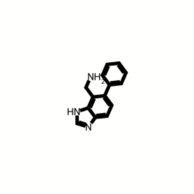 NCc1c(-c2ccccc2)ccc2nc[nH]c12